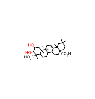 CC1(C)CCC2(C(=O)O)CCC3C(=CC[C@@]4(C)C3CCC3C(C)(C(=O)O)C(O)C(O)CC34C)C2(C)C1